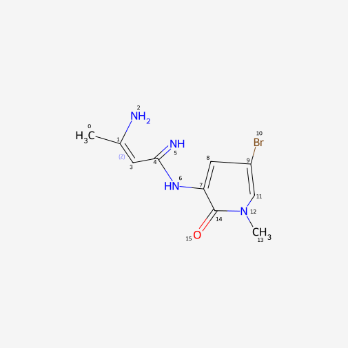 C/C(N)=C/C(=N)Nc1cc(Br)cn(C)c1=O